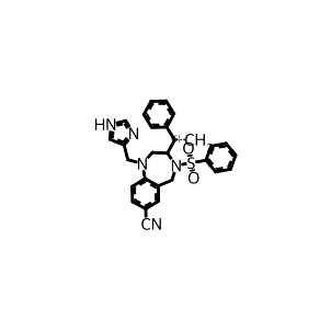 C[C@@H](c1ccccc1)C1CN(Cc2c[nH]cn2)c2ccc(C#N)cc2CN1S(=O)(=O)c1ccccc1